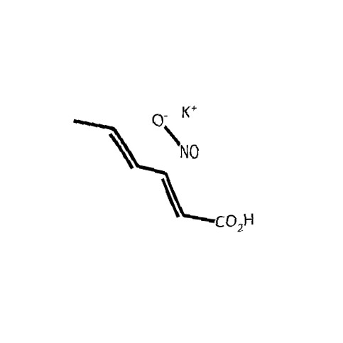 CC=CC=CC(=O)O.O=N[O-].[K+]